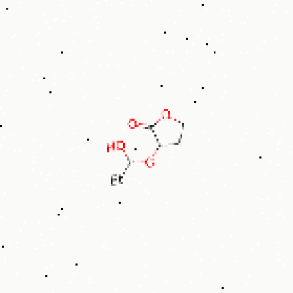 CCC(O)OC1CCOC1=O